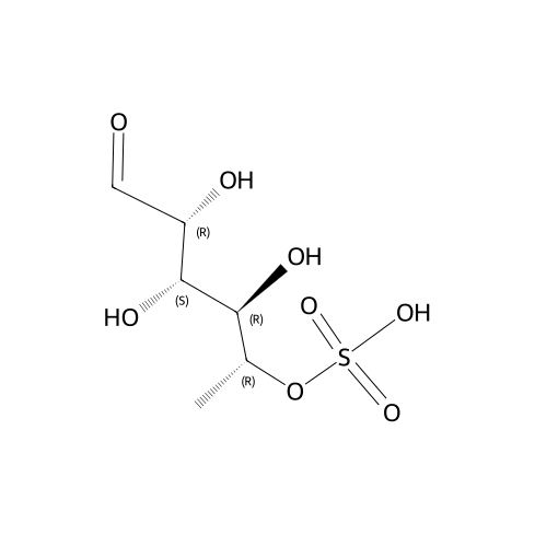 C[C@@H](OS(=O)(=O)O)[C@H](O)[C@H](O)[C@@H](O)C=O